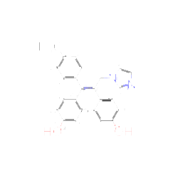 Cc1ccc(/C(=C(\Cn2ccnc2)c2ccc(O)cc2)c2ccc(O)cc2)cc1